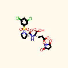 O=C(CC[C@H](NC(=O)[C@@H]1CCCN1S(=O)(=O)c1cc(Cl)cc(Cl)c1)C(=O)O)ON1C(=O)CCC1=O